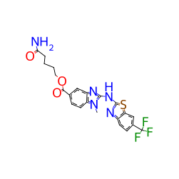 Cn1c(Nc2nc3ccc(C(F)(F)F)cc3s2)nc2cc(C(=O)OCCCCC(N)=O)ccc21